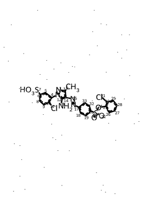 Cc1nn(-c2cc(S(=O)(=O)O)ccc2Cl)c(N)c1N=Nc1ccc(S(=O)(=O)Oc2ccccc2Cl)cc1